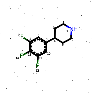 Fc1cc(C2CCNCC2)cc(F)c1F